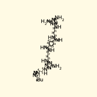 CCC(C)c1cn(CCCNc2nc(N)nc(NCCCCNC(=N)c3ccc(C(=N)NCCCCNc4nc(N)nc(N)n4)cc3)n2)nn1